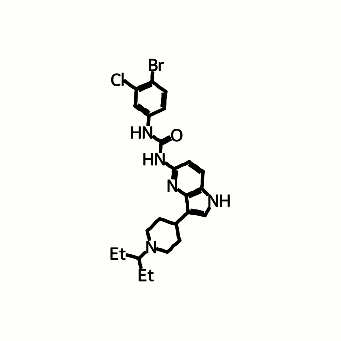 CCC(CC)N1CCC(c2c[nH]c3ccc(NC(=O)Nc4ccc(Br)c(Cl)c4)nc23)CC1